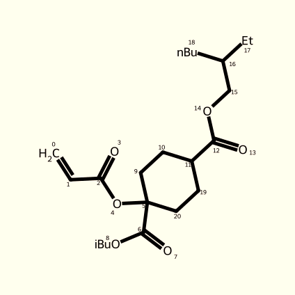 C=CC(=O)OC1(C(=O)OCC(C)C)CCC(C(=O)OCC(CC)CCCC)CC1